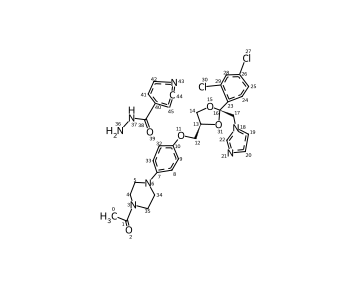 CC(=O)N1CCN(c2ccc(OC[C@H]3CO[C@](Cn4ccnc4)(c4ccc(Cl)cc4Cl)O3)cc2)CC1.NNC(=O)c1ccncc1